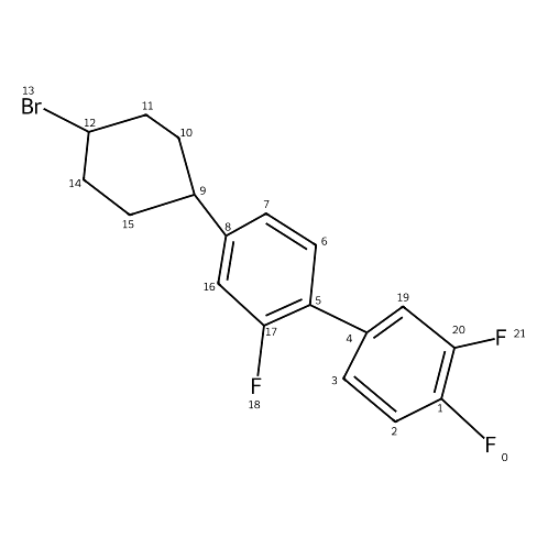 Fc1ccc(-c2ccc(C3CCC(Br)CC3)cc2F)cc1F